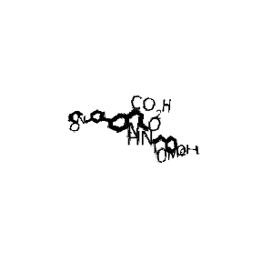 COC[C@H](Cc1ccc(O)cc1)NC(=O)c1cc(C(=O)O)c2cc(-c3cccc(Cn4ccccc4=O)c3)ccc2n1